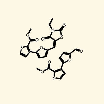 CCN1C(=O)/C(=C\c2ccc(-c3ccsc3C(=O)OC)o2)SC1=S.COC(=O)c1sccc1-c1ccc(C=O)o1